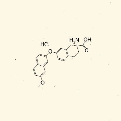 COc1ccc2ccc(Oc3ccc4c(c3)CC(N)(C(=O)O)CC4)cc2c1.Cl